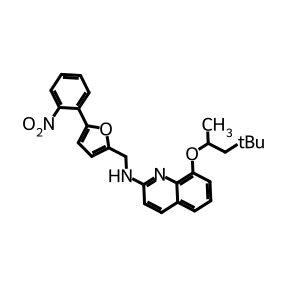 CC(CC(C)(C)C)Oc1cccc2ccc(NCc3ccc(-c4ccccc4[N+](=O)[O-])o3)nc12